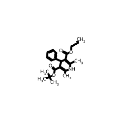 C=CCOC(=O)C1=C(C)NC(C)=C(C(=O)OC(C)(C)C)C1c1ccccc1